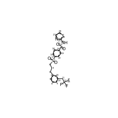 O=S(=O)(CCCc1cccc(CC(F)(F)F)c1)c1ccc(S(=O)(=O)Nc2nccs2)cc1